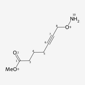 COC(=O)CCCC#CCON